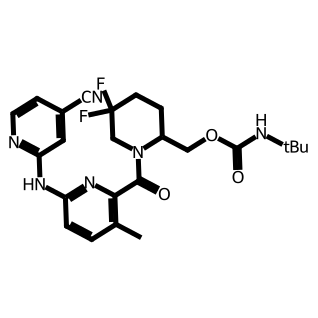 Cc1ccc(Nc2cc(C#N)ccn2)nc1C(=O)N1CC(F)(F)CCC1COC(=O)NC(C)(C)C